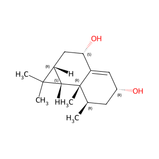 C[C@@H]1C[C@@H](O)C=C2[C@@H](O)C[C@@H]3[C@@H](C3(C)C)[C@]21C